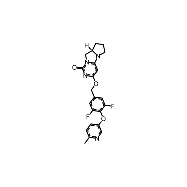 Cc1ccc(Oc2c(F)cc(COc3cc4n(c(=O)n3)C[C@@H]3CCCN43)cc2F)cn1